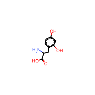 NC(Cc1ccc(O)cc1O)C(=O)O